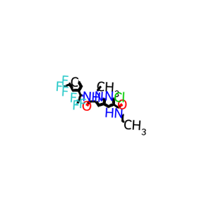 CCCNC(=O)c1cc2cc(C(=O)NC(c3cccc(C(F)(F)F)c3)C(F)(F)F)n(CC)c2nc1Cl